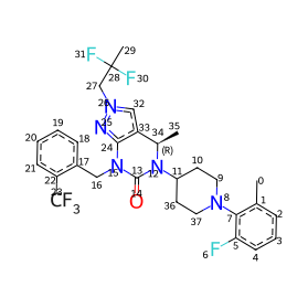 Cc1cccc(F)c1N1CCC(N2C(=O)N(Cc3ccccc3C(F)(F)F)c3nn(CC(C)(F)F)cc3[C@H]2C)CC1